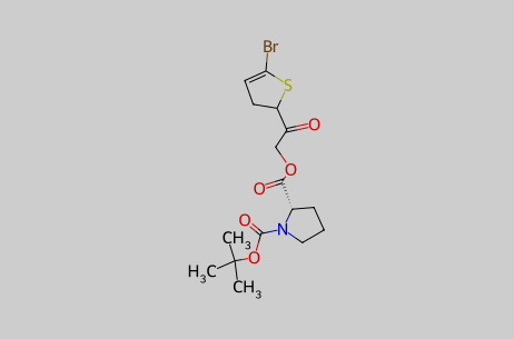 CC(C)(C)OC(=O)N1CCC[C@H]1C(=O)OCC(=O)C1CC=C(Br)S1